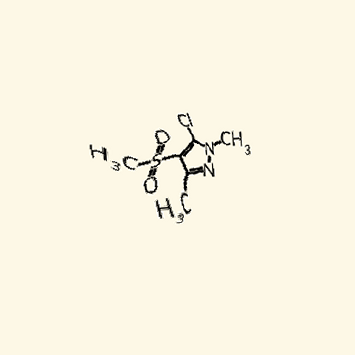 Cc1nn(C)c(Cl)c1S(C)(=O)=O